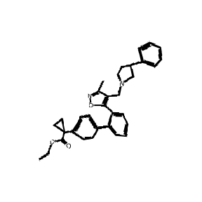 CCOC(=O)C1(c2ccc(-c3ccccc3-c3onc(C)c3CN3CCC(c4ccccc4)C3)cc2)CC1